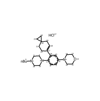 CCCCN1CCN(c2ccc(N3CCOCC3)cc2C2=CCC3(CC2)CC3)CC1.Cl